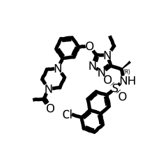 CCn1c(Oc2cccc(N3CCN(C(C)=O)CC3)c2)nnc1[C@@H](C)NS(=O)(=O)c1ccc2c(Cl)cccc2c1